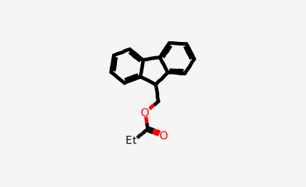 [CH2]CC(=O)OCC1c2ccccc2-c2ccccc21